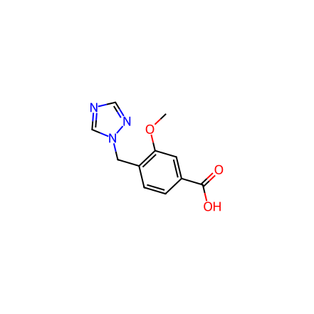 COc1cc(C(=O)O)ccc1Cn1cncn1